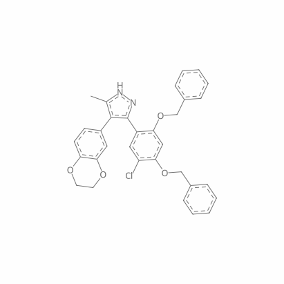 Cc1[nH]nc(-c2cc(Cl)c(OCc3ccccc3)cc2OCc2ccccc2)c1-c1ccc2c(c1)OCCO2